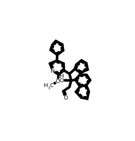 COc1ncc(-c2ccccc2)cc1C(c1ccccc1)C(O)(CC=O)c1cccc2ccccc12